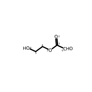 O=CC(=O)OCCO